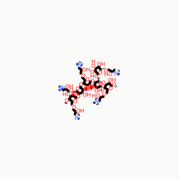 CO[C@@H]1OC(COCC(O)C[N+](C)(C)C)[C@@H](O[C@H]2O[C@@H](CO[C@H]3O[C@@H](COCC(O)C[N+](C)(C)C)[C@H](O)C(O)C3O)[C@@H](O[C@@H]3OC(COCC(O)C[N+](C)(C)C)[C@@H](O[C@H]4O[C@@H](COCC(O)C[N+](C)(C)C)[C@@H](O[C@@H]5OC(COCC(O)C[N+](C)(C)C)[C@@H](OC)[C@@H](O)C5O)C(O)C4O)C(O)C3O)C(O)C2O)C(O)C1O